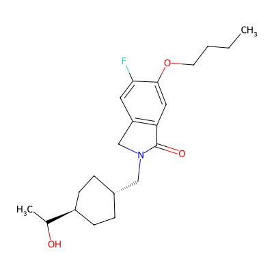 CCCCOc1cc2c(cc1F)CN(C[C@H]1CC[C@H](C(C)O)CC1)C2=O